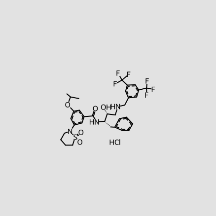 CC(C)Oc1cc(C(=O)N[C@@H](Cc2ccccc2)[C@H](O)CNCc2cc(C(F)(F)F)cc(C(F)(F)F)c2)cc(N2CCCCS2(=O)=O)c1.Cl